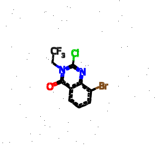 O=c1c2cccc(Br)c2nc(Cl)n1CC(F)(F)F